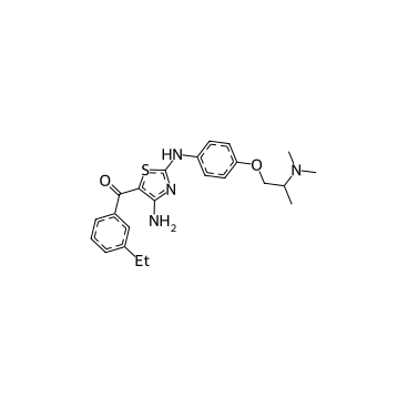 CCc1cccc(C(=O)c2sc(Nc3ccc(OCC(C)N(C)C)cc3)nc2N)c1